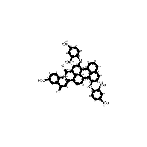 Cc1ccc2c(c1)c(=O)cc1c3ccc4c5c(Oc6ccc(C(C)(C)C)cc6C(C)(C)C)ccc6cccc(c7c(Oc8ccc(C(C)(C)C)cc8C(C)(C)C)cc(c(=O)n21)c3c47)c65